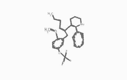 CCCCC(Cc1cc(OC(F)(F)F)ccc1OC)C1CCCNC1c1ccccc1